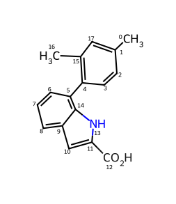 Cc1ccc(-c2cccc3cc(C(=O)O)[nH]c23)c(C)c1